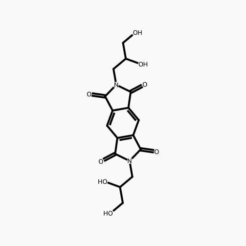 O=c1c2cc3c(=O)n(CC(O)CO)c(=O)c3cc2c(=O)n1CC(O)CO